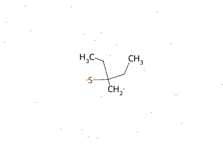 [CH2]C([S])(CC)CC